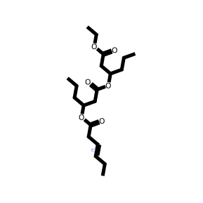 CC/C=C/CC(=O)OC(CCC)CC(=O)OC(CCC)CC(=O)OCC